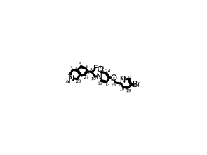 CN1CCc2ccc(C(F)Cn3ccc(OCc4ccc(Br)cn4)cc3=O)cc2C1